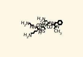 CCc1nc2ccccc2cc1C(=O)N[C@@H](CC(N)=O)C(=O)NC(CS)C(=O)N[C@@H](CCCCN)C(=O)NCCCN